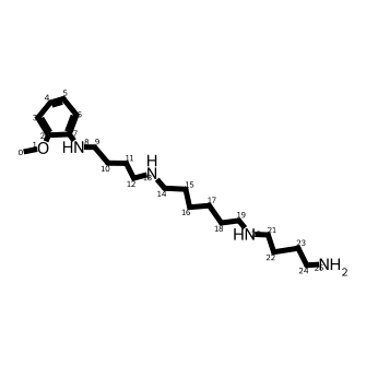 COc1ccccc1NCCCCNCCCCCCNCCCCN